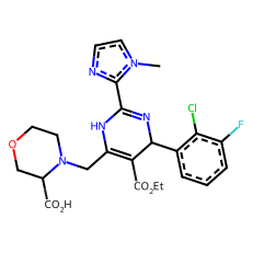 CCOC(=O)C1=C(CN2CCOCC2C(=O)O)NC(c2nccn2C)=NC1c1cccc(F)c1Cl